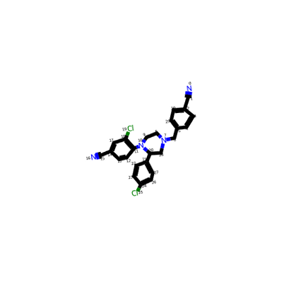 N#Cc1ccc(CN2CCN(c3ccc(C#N)cc3Cl)C(c3ccc(Cl)cc3)C2)cc1